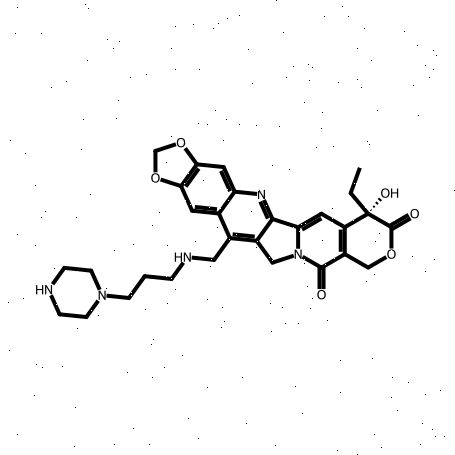 CC[C@@]1(O)C(=O)OCc2c1cc1n(c2=O)Cc2c-1nc1cc3c(cc1c2CNCCCN1CCNCC1)OCO3